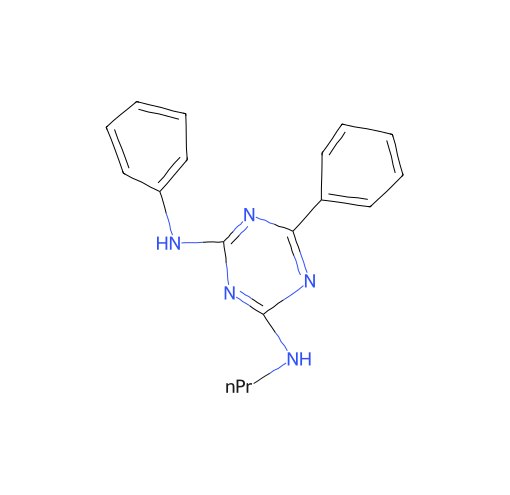 CCCNc1nc(Nc2ccccc2)nc(-c2ccccc2)n1